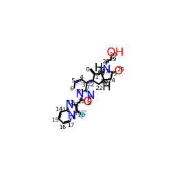 C=C1/C(=C(\C=C/C)c2noc(-c3nc4ccccn4c3F)n2)C[C@H]2CC(=O)N(CCO)[C@@H]12